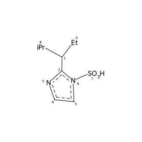 CCC(c1nccn1S(=O)(=O)O)C(C)C